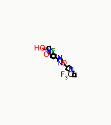 O=C(c1ccc(-c2cnc(OCC3CCN(CC4(C(F)(F)F)CCC4)CC3)cn2)cc1F)N1CCC[C@@H]1CO